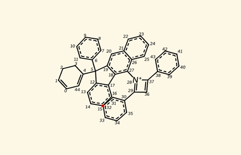 C1=CCCC(C2(c3ccccc3)c3ccccc3-c3c2cc2ccccc2c3[N+]2=C(c3ccccc3)C=C2c2ccccc2)=C1